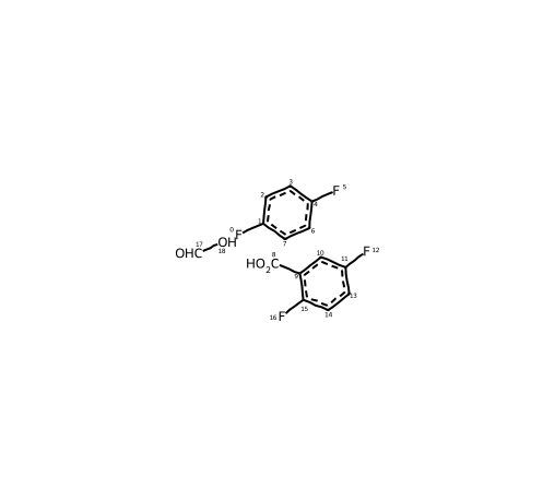 Fc1ccc(F)cc1.O=C(O)c1cc(F)ccc1F.O=CO